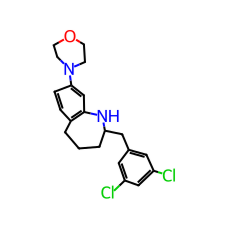 Clc1cc(Cl)cc(CC2CCCc3ccc(N4CCOCC4)cc3N2)c1